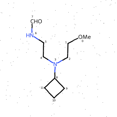 COCCN(CCNC=O)C1CCC1